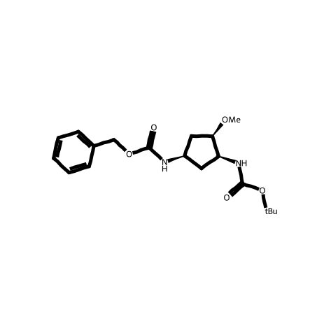 CO[C@@H]1C[C@H](NC(=O)OCc2ccccc2)C[C@@H]1NC(=O)OC(C)(C)C